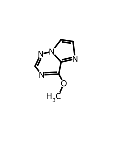 COc1ncnn2ccnc12